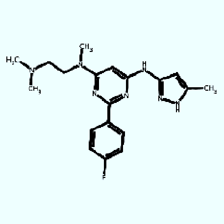 Cc1cc(Nc2cc(N(C)CCN(C)C)nc(-c3ccc(F)cc3)n2)n[nH]1